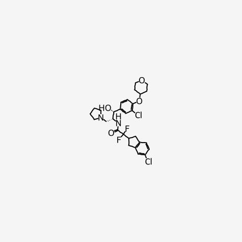 O=C(N[C@H](CN1CCCC1)[C@H](O)c1ccc(OC2CCOCC2)c(Cl)c1)C(F)(F)C1Cc2ccc(Cl)cc2C1